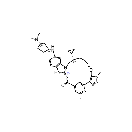 Cc1cc2cc(n1)-c1cnn(C)c1OCCC[C@@H](C1CC1)CN1/C(=N/C2=O)Nc2ccc(N[C@@H]3CC[C@H](N(C)C)C3)cc21